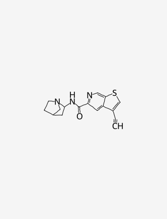 C#Cc1csc2cnc(C(=O)NC3CC4CCN3C4)cc12